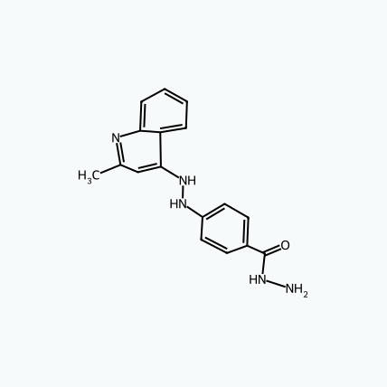 Cc1cc(NNc2ccc(C(=O)NN)cc2)c2ccccc2n1